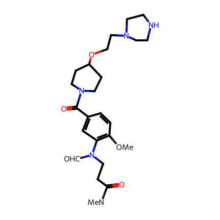 CNC(=O)CCN(C=O)c1cc(C(=O)N2CCC(OCCN3CCNCC3)CC2)ccc1OC